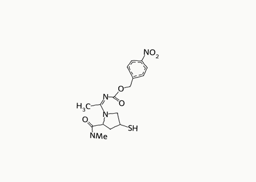 CNC(=O)C1CC(S)CN1C(C)=NC(=O)OCc1ccc([N+](=O)[O-])cc1